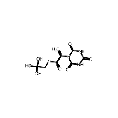 C=C(C(=O)OCC(O)(O)O)n1c(=O)[nH]c(=O)[nH]c1=O